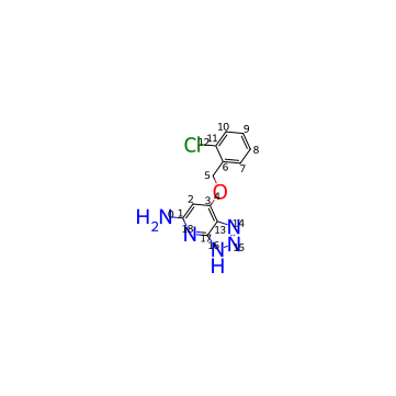 Nc1cc(OCc2ccccc2Cl)c2nn[nH]c2n1